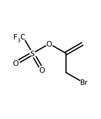 C=C(CBr)OS(=O)(=O)C(F)(F)F